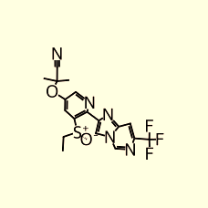 CC[S@@+]([O-])c1cc(OC(C)(C)C#N)cnc1-c1cn2cnc(C(F)(F)F)cc2n1